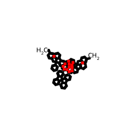 C=Cc1ccc(CC2(c3ccccc3)C3=C(C=CCC3)c3ccc(N(c4ccc5c(c4)C4(c6ccccc6-c6ccc(N(c7ccc8c(c7)C(Cc7ccc(C=C)cc7)(c7ccccc7)c7ccccc7-8)c7cccc8ccccc78)cc64)C4C=CC=CC54)c4cccc5ccccc45)cc32)cc1